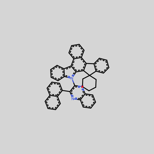 c1ccc2c(c1)-c1c(c3c(c4ccccc14)c1ccccc1n3-c1nc3ccccc3nc1-c1cccc3ccccc13)C21CCCCC1